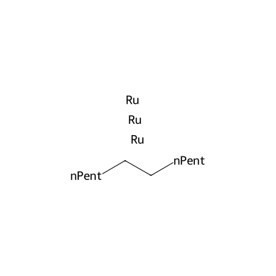 CCCCCCCCCCCC.[Ru].[Ru].[Ru]